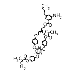 C=C(C)C(=O)Oc1ccc(Oc2nc(Oc3ccc(OCCCCCOC(=O)c4cc(N)cc(CCCC)c4)cc3)nc(Oc3ccc(OC(=O)C(=C)C)cc3)n2)cc1